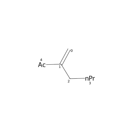 C=C(CCCC)C(C)=O